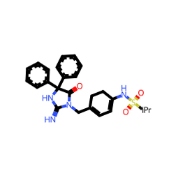 CC(C)S(=O)(=O)NC1=CC=C(CN2C(=N)NC(c3ccccc3)(c3ccccc3)C2=O)CC1